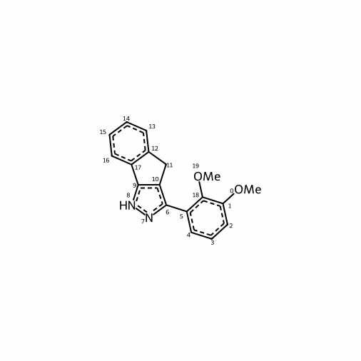 COc1cccc(-c2n[nH]c3c2Cc2ccccc2-3)c1OC